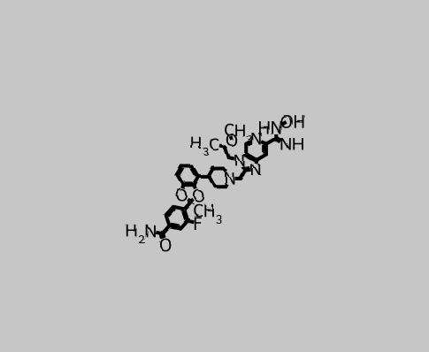 COC(C)Cn1c(CN2CCC(c3cccc4c3O[C@@](C)(c3ccc(C(N)=O)cc3F)O4)CC2)nc2cc(C(=N)NO)ncc21